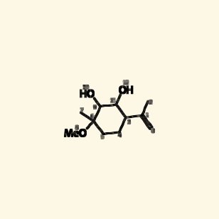 C=C(C)C1CCC(C)(OC)C(O)C1O